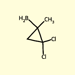 BC1(C)CC1(Cl)Cl